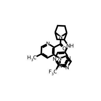 Cc1cnc(C(=O)N2C3CCC2C(Nc2cnc(C(F)(F)F)cn2)C3)c(-n2ccnn2)c1